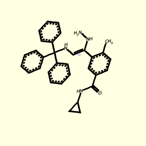 Cc1ccc(C(=O)NC2CC2)cc1/C(=C/NC(c1ccccc1)(c1ccccc1)c1ccccc1)NN